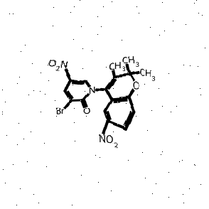 CC1=C(n2cc([N+](=O)[O-])cc(Br)c2=O)c2cc([N+](=O)[O-])ccc2OC1(C)C